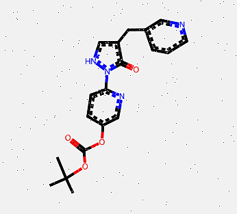 CC(C)(C)OC(=O)Oc1ccc(-n2[nH]cc(Cc3cccnc3)c2=O)nc1